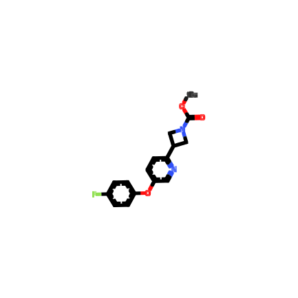 CC(C)(C)OC(=O)N1CC(c2ccc(Oc3ccc(F)cc3)cn2)C1